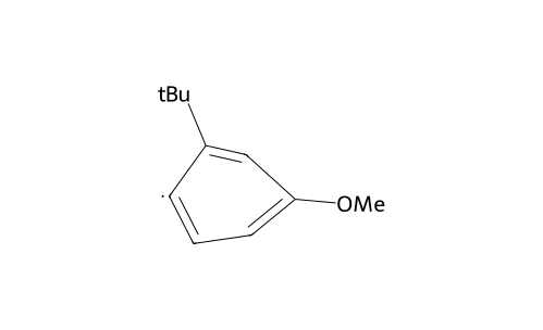 COc1cc[c]c(C(C)(C)C)c1